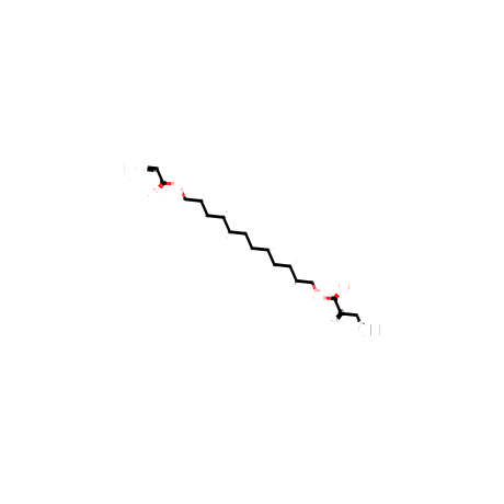 C=CC(=O)OCCCCCCCCCCCCOC(=O)C(=C)CC